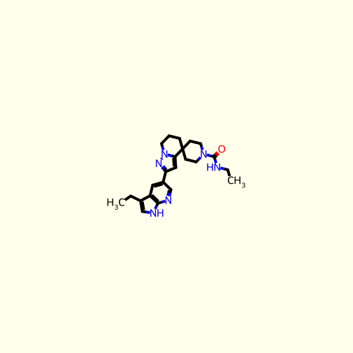 CCNC(=O)N1CCC2(CCCn3nc(-c4cnc5[nH]cc(CC)c5c4)cc32)CC1